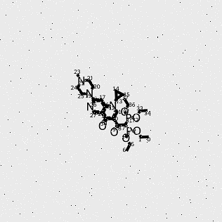 CCOP(OCC)C(C(=O)c1cn(C2CC2)c2cc(N3CCN(C)CC3)ncc2c1=O)P(OCC)OCC